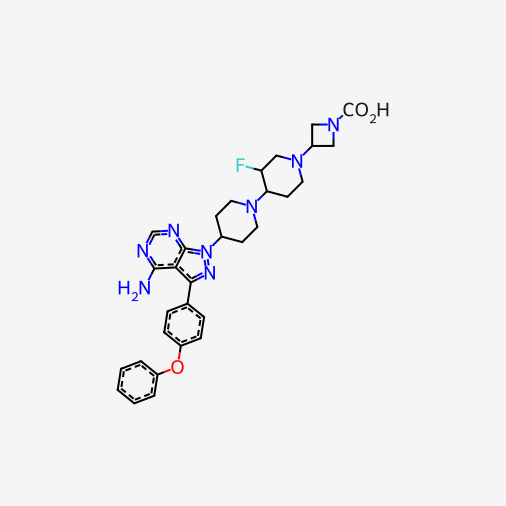 Nc1ncnc2c1c(-c1ccc(Oc3ccccc3)cc1)nn2C1CCN(C2CCN(C3CN(C(=O)O)C3)CC2F)CC1